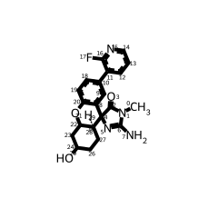 CN1C(=O)C2(N=C1N)c1cc(-c3cccnc3F)ccc1OC1CC(O)CC[C@@H]12